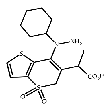 NN(C1=C(C(I)C(=O)O)CS(=O)(=O)c2ccsc21)C1CCCCC1